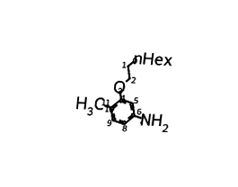 CCCCCCCCOc1cc(N)ccc1C